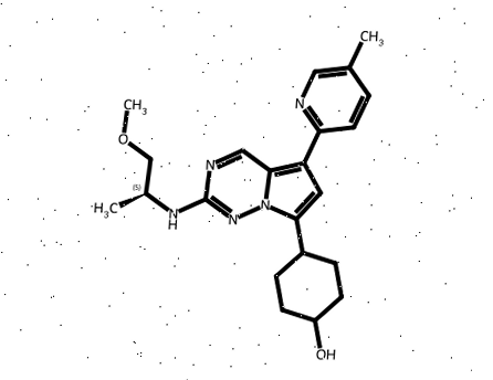 COC[C@H](C)Nc1ncc2c(-c3ccc(C)cn3)cc(C3CCC(O)CC3)n2n1